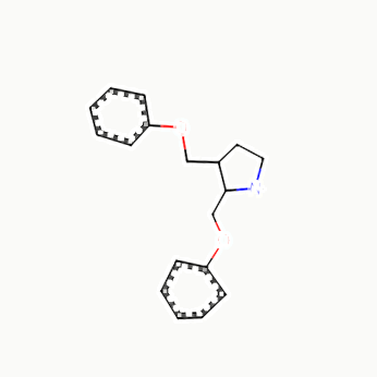 c1ccc(OCC2CC[N]C2COc2ccccc2)cc1